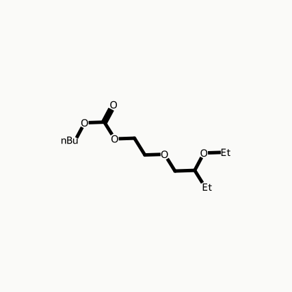 CCCCOC(=O)OCCOCC(CC)OCC